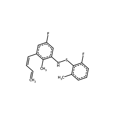 C=C/C=C\c1cc(F)cc(NSc2c(C)cccc2F)c1C